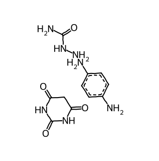 NNC(N)=O.Nc1ccc(N)cc1.O=C1CC(=O)NC(=O)N1